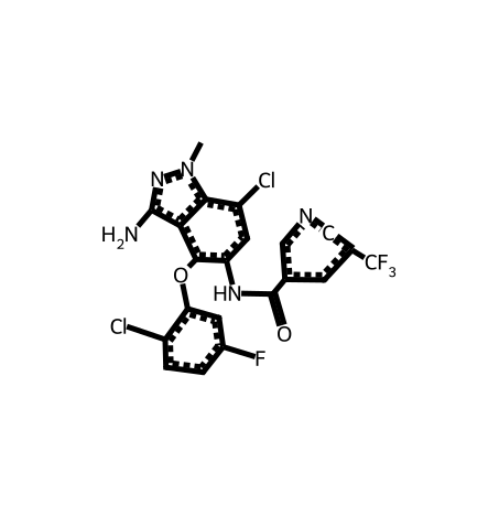 Cn1nc(N)c2c(Oc3cc(F)ccc3Cl)c(NC(=O)c3cncc(C(F)(F)F)c3)cc(Cl)c21